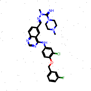 CN1CCN(C(=N)N(C)/N=C/c2ccc3ncnc(Nc4ccc(OCc5cccc(F)c5)c(Cl)c4)c3c2)CC1